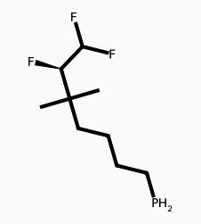 CC(C)(CCCCP)[C@@H](F)C(F)F